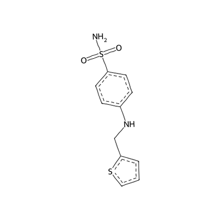 NS(=O)(=O)c1ccc(NCc2cccs2)cc1